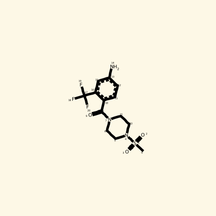 CS(=O)(=O)N1CCN(C(=O)c2ccc(N)cc2C(F)(F)F)CC1